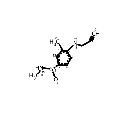 C#CCNc1ccc([S+]([O-])NC)cc1C